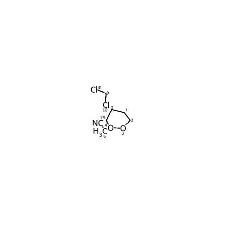 C1CCOOC1.CC#N.ClCCl